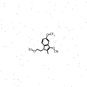 CCOCCn1c(C)c(OC#N)c2cc(OC(F)(F)F)ccc21